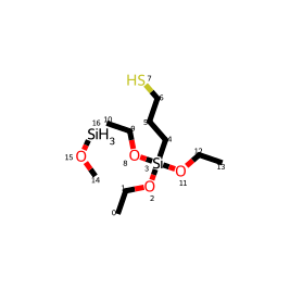 CCO[Si](CCCS)(OCC)OCC.CO[SiH3]